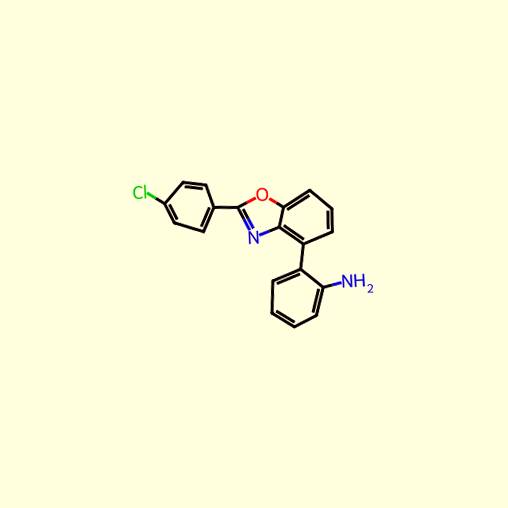 Nc1ccccc1-c1cccc2oc(-c3ccc(Cl)cc3)nc12